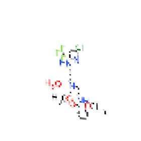 COc1ccccc1C(=O)NC1CCN(CCCCNc2ncc(Cl)cc2C(F)(F)F)CC1OC.O